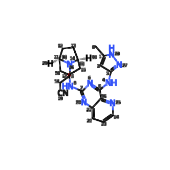 Cc1cc(Nc2nc(NC3C[C@H]4CC[C@@H](C3)N4CCC#N)nc3cccnc23)n[nH]1